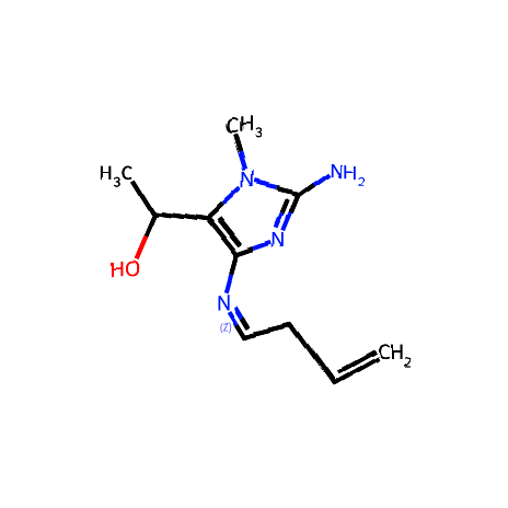 C=CC/C=N\c1nc(N)n(C)c1C(C)O